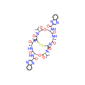 CC(C)[C@H]1C(=O)OC[C@@H](NC(=O)c2cnc3ccccc3n2)C(=O)N[C@@H](C)C(=O)N(C)[C@@H]2CSSC[C@H](C(=O)N1C)N(C)C(=O)[C@H](C)NC(=O)[C@H](NC(=O)c1cnc3ccccc3n1)COC(=O)[C@H](C(C)C)N(C)C2=O